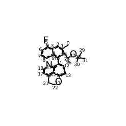 Cc1cc2c(F)cccc2c(-c2ccc3c4c(ccnc24)CCO3)c1C(C)OC(C)(C)C